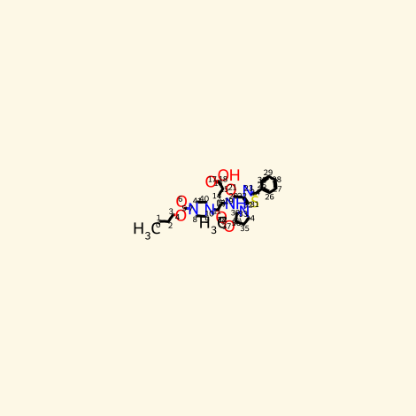 CCCCOC(=O)N1CCN(C(=O)[C@H](CCC(=O)O)NC(=O)c2nc(-c3ccccc3)sc2N2CC[C@H](OC)C2)CC1